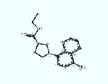 CCOC(=O)[C@@H]1CCN(c2ccc(N)c3ccccc23)C1